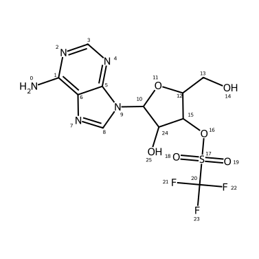 Nc1ncnc2c1ncn2C1OC(CO)C(OS(=O)(=O)C(F)(F)F)C1O